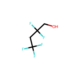 OCC(F)(F)[CH]C(F)(F)F